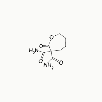 NC(=O)C1(C(N)=O)CCCCOC1=O